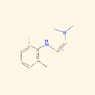 Cc1cccc(C)c1N/C=C\N(C)C